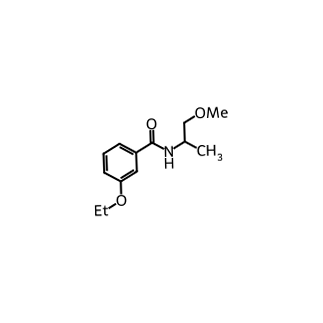 CCOc1cccc(C(=O)NC(C)COC)c1